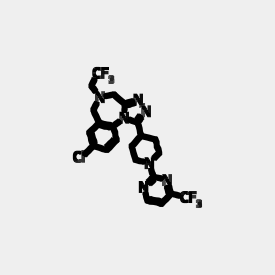 FC(F)(F)CN1Cc2cc(Cl)ccc2-n2c(nnc2C2CCN(c3nccc(C(F)(F)F)n3)CC2)C1